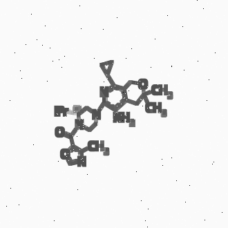 Cc1ncoc1C(=O)N1CCN(c2nc(C3CC3)c3c(c2N)CC(C)(C)OC3)C[C@H]1C(C)C